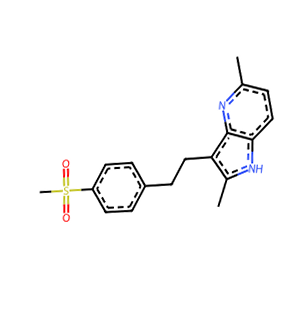 Cc1ccc2[nH]c(C)c(CCc3ccc(S(C)(=O)=O)cc3)c2n1